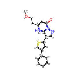 CCOCCc1cc(=O)n2ncc(-c3cc(-c4ccccc4)cs3)c2[nH]1